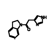 O=C(Cc1c[nH]cn1)N1CCc2cc[c]cc21